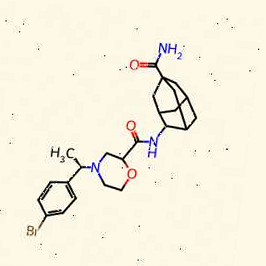 C[C@H](c1ccc(Br)cc1)N1CCOC(C(=O)NC2C3CC4CC2CC(C(N)=O)(C4)C3)C1